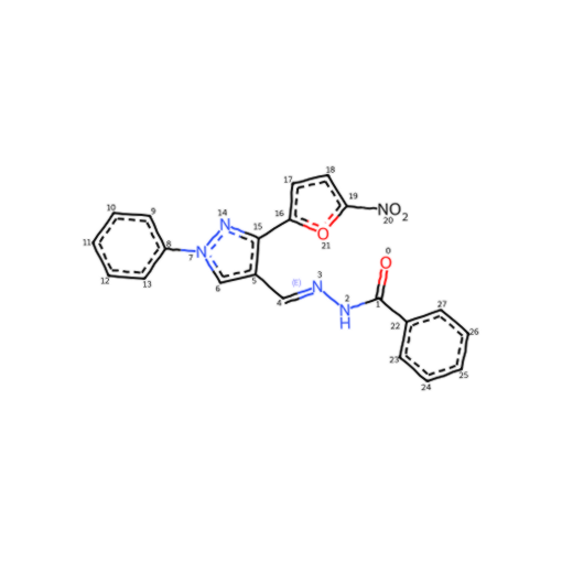 O=C(N/N=C/c1cn(-c2ccccc2)nc1-c1ccc([N+](=O)[O-])o1)c1ccccc1